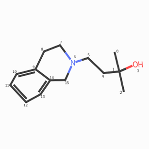 CC(C)(O)CCN1CCc2ccccc2C1